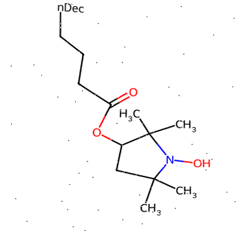 CCCCCCCCCCCCCC(=O)OC1CC(C)(C)N(O)C1(C)C